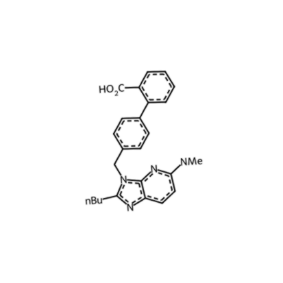 CCCCc1nc2ccc(NC)nc2n1Cc1ccc(-c2ccccc2C(=O)O)cc1